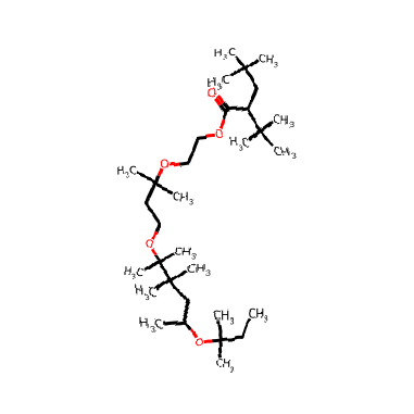 CCC(C)(C)OC(C)CC(C)(C)C(C)(C)OCCC(C)(C)OCCOC(=O)C(CC(C)(C)C)C(C)(C)C